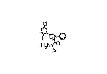 N[C@H](C(=O)N1CC(c2cc(Cl)ccc2F)=C[C@H]1c1ccccc1)C1CC1